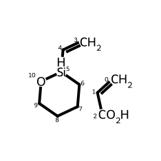 C=CC(=O)O.C=C[SiH]1CCCCO1